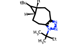 CCC(C)(C)n1nnc2c1CC[C@@H]1C(C(C)(C)C)[C@@H]1CC2